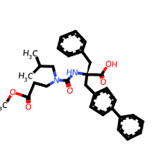 COC(=O)CCN(CC(C)C)C(=O)N[C@@](Cc1ccccc1)(Cc1ccc(-c2ccccc2)cc1)C(=O)O